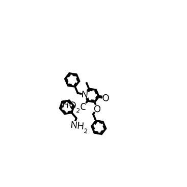 Cc1cc(=O)c(OCc2ccccc2)c(C(=O)O)n1Cc1ccccc1.NCc1ccccc1